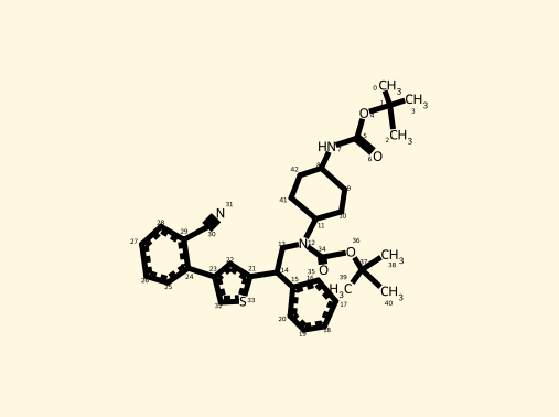 CC(C)(C)OC(=O)NC1CCC(N(CC(c2ccccc2)c2cc(-c3ccccc3C#N)cs2)C(=O)OC(C)(C)C)CC1